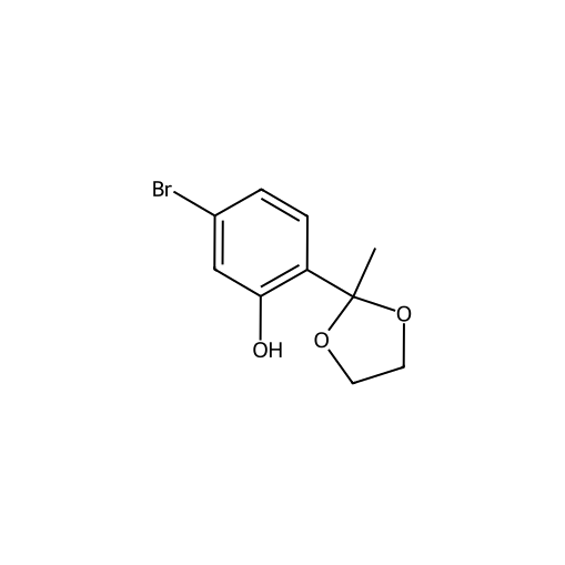 CC1(c2ccc(Br)cc2O)OCCO1